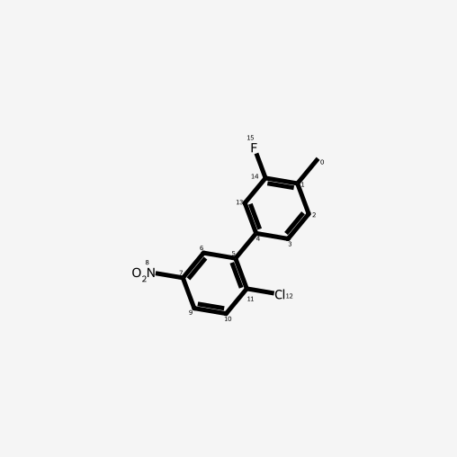 Cc1ccc(-c2cc([N+](=O)[O-])ccc2Cl)cc1F